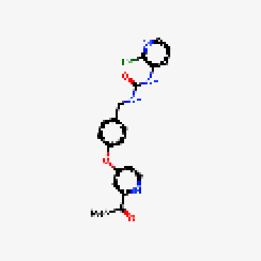 CNC(=O)c1cc(Oc2ccc(CNC(=O)Nc3cccnc3Cl)cc2)ccn1